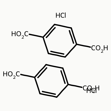 Cl.Cl.O=C(O)c1ccc(C(=O)O)cc1.O=C(O)c1ccc(C(=O)O)cc1